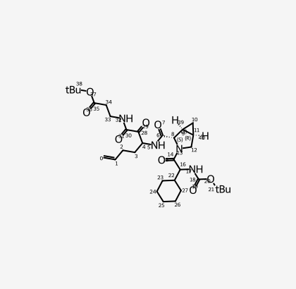 C=CCCC(NC(=O)[C@@H]1[C@H]2C[C@H]2CN1C(=O)C(NC(=O)OC(C)(C)C)C1CCCCC1)C(=O)C(=O)NCCC(=O)OC(C)(C)C